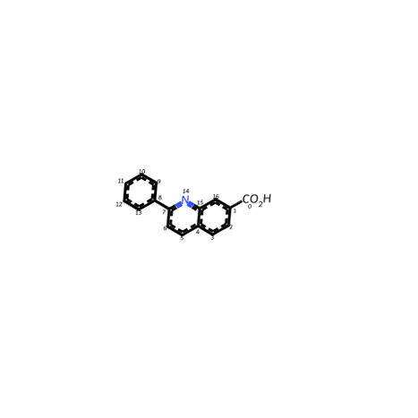 O=C(O)c1ccc2ccc(-c3ccccc3)nc2c1